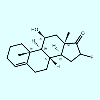 C[C@]12CCCC=C1CC[C@@H]1[C@@H]2[C@@H](O)C[C@]2(C)C(=O)C(F)C[C@@H]12